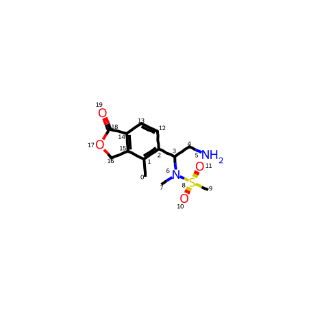 Cc1c(C(CN)N(C)S(C)(=O)=O)ccc2c1COC2=O